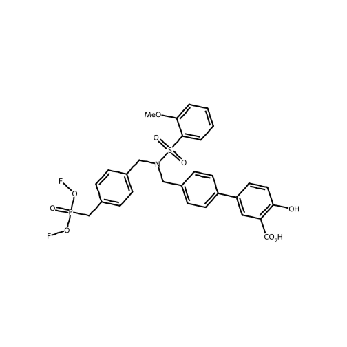 COc1ccccc1S(=O)(=O)N(Cc1ccc(CP(=O)(OF)OF)cc1)Cc1ccc(-c2ccc(O)c(C(=O)O)c2)cc1